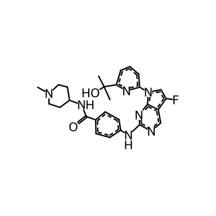 CN1CCC(NC(=O)c2ccc(Nc3ncc4c(F)cn(-c5cccc(C(C)(C)O)n5)c4n3)cc2)CC1